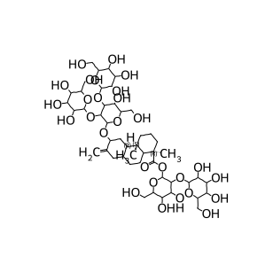 C=C1CC2CCC3[C@](C)(C(=O)OC4OC(CO)C(O)C(O)C4OC4OC(CO)C(O)C(O)C4O)CCC[C@@]3(C)[C@@H]2CC1OC1OC(CO)C(O)C(OC2OC(CO)C(O)C(O)C2O)C1OC1OC(CO)C(O)C(O)C1O